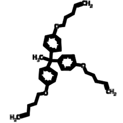 C=CCCCOc1ccc(C(C)(c2ccc(OCCCC=C)cc2)c2ccc(OCCCC=C)cc2)cc1